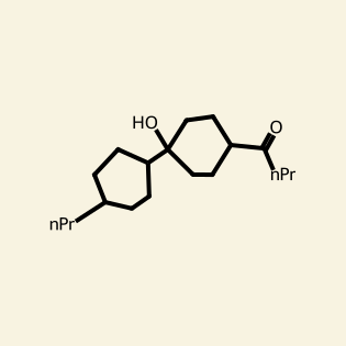 CCCC(=O)C1CCC(O)(C2CCC(CCC)CC2)CC1